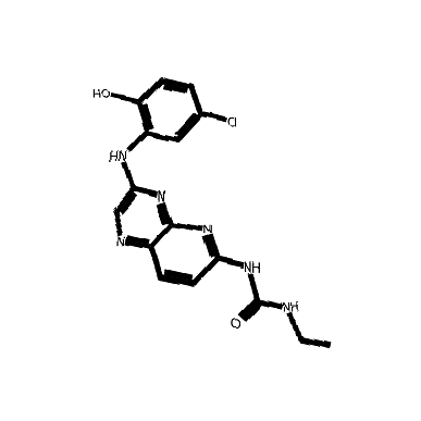 CCNC(=O)Nc1ccc2ncc(Nc3cc(Cl)ccc3O)nc2n1